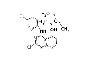 CCO.CCOCC.Clc1ccc(Nc2nc(Cl)nc3ccccc23)cc1